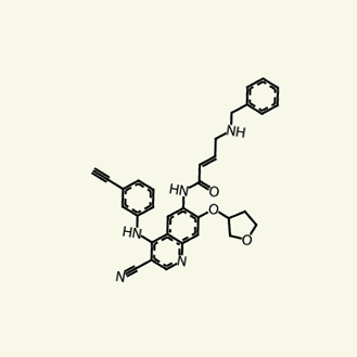 C#Cc1cccc(Nc2c(C#N)cnc3cc(OC4CCOC4)c(NC(=O)C=CCNCc4ccccc4)cc23)c1